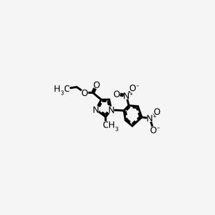 CCOC(=O)c1cn(-c2ccc([N+](=O)[O-])cc2[N+](=O)[O-])c(C)n1